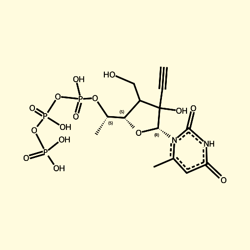 C#CC1(O)C(CO)[C@@H]([C@H](C)OP(=O)(O)OP(=O)(O)OP(=O)(O)O)O[C@H]1n1c(C)cc(=O)[nH]c1=O